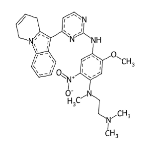 COc1cc(N(C)CCN(C)C)c([N+](=O)[O-])cc1Nc1nccc(-c2c3n(c4ccccc24)CC=CC3)n1